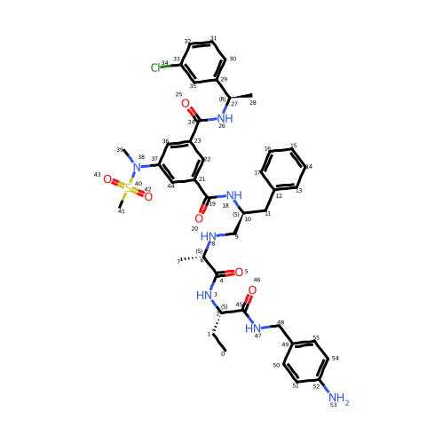 CC[C@H](NC(=O)[C@H](C)NC[C@H](Cc1ccccc1)NC(=O)c1cc(C(=O)N[C@H](C)c2cccc(Cl)c2)cc(N(C)S(C)(=O)=O)c1)C(=O)NCc1ccc(N)cc1